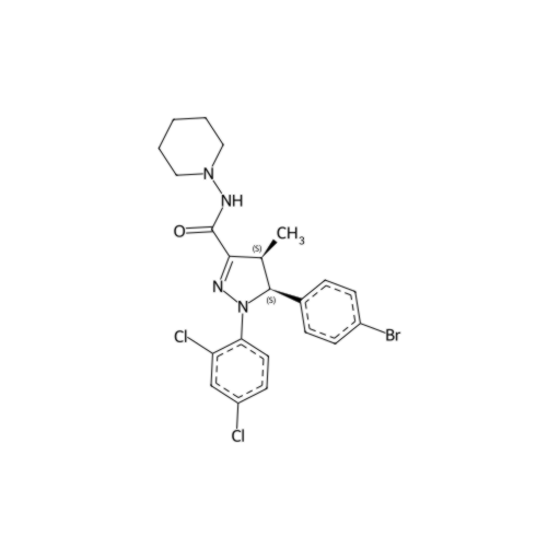 C[C@@H]1C(C(=O)NN2CCCCC2)=NN(c2ccc(Cl)cc2Cl)[C@@H]1c1ccc(Br)cc1